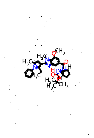 CCc1c(-c2nc3cc(C(=O)N4C[C@H]5CC[C@@H]4[C@@H]5NC(O)OC(C)(C)C)cc(OC)c3n2C)cc(C)n1-c1ccccc1